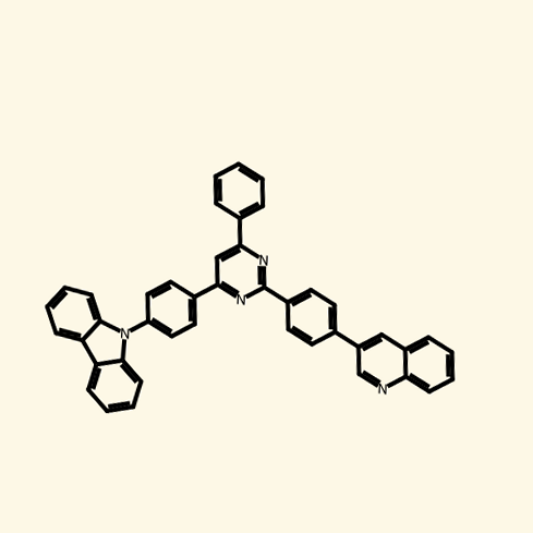 c1ccc(-c2cc(-c3ccc(-n4c5ccccc5c5ccccc54)cc3)nc(-c3ccc(-c4cnc5ccccc5c4)cc3)n2)cc1